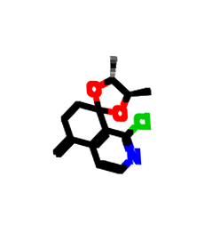 C=C1CCC2(O[C@H](C)[C@@H](C)O2)c2c1ccnc2Cl